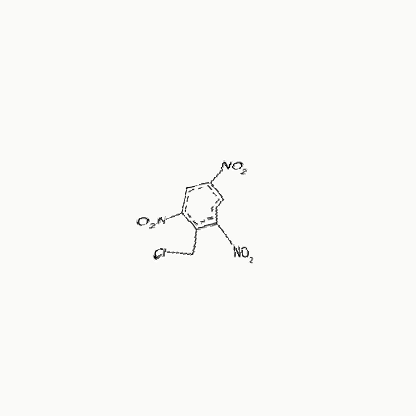 O=[N+]([O-])c1cc([N+](=O)[O-])c(CCl)c([N+](=O)[O-])c1